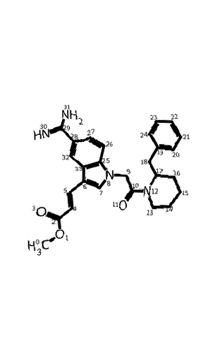 COC(=O)/C=C/c1cn(CC(=O)N2CCCCC2Cc2ccccc2)c2ccc(C(=N)N)cc12